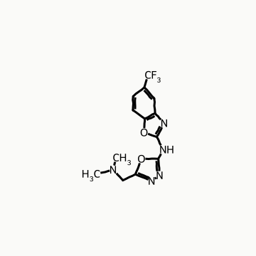 CN(C)Cc1nnc(Nc2nc3cc(C(F)(F)F)ccc3o2)o1